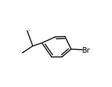 [CH2]C(C)c1ccc(Br)cc1